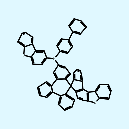 c1ccc(-c2ccc(N(c3ccc4c(c3)-c3ccccc3-c3ccccc3C43c4ccccc4-c4c3ccc3oc5ccccc5c43)c3ccc4oc5ccccc5c4c3)cc2)cc1